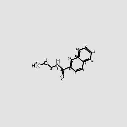 COCNC(=O)c1ccc2ccccc2c1